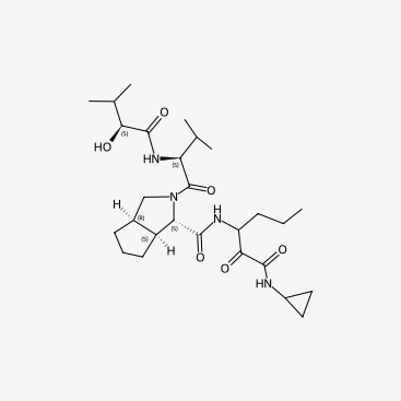 CCCC(NC(=O)[C@@H]1[C@H]2CCC[C@H]2CN1C(=O)[C@@H](NC(=O)[C@@H](O)C(C)C)C(C)C)C(=O)C(=O)NC1CC1